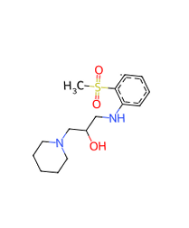 CS(=O)(=O)c1[c]cccc1NCC(O)CN1CCCCC1